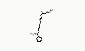 CC(CC=CCCC=CCC(N)c1ccccc1)CC=NO